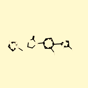 Cc1csc(-c2ccc(N3C[C@H](Cn4ccnn4)OC3=O)cc2F)n1